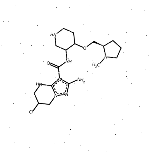 CN1CCC[C@@H]1COC1CCNCC1NC(=O)c1c(N)nn2c1NCC(Cl)C2